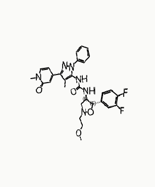 COCCN1C[C@@H](NC(=O)Nc2c(C)c(-c3ccn(C)c(=O)c3)nn2-c2ccccc2)[C@H](c2ccc(F)c(F)c2)O1